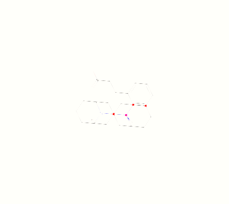 CN(c1ccccc1CCC(=O)O)C1CC2CCC[C@H](C1)N2C1CC2CCCC(C2)C1